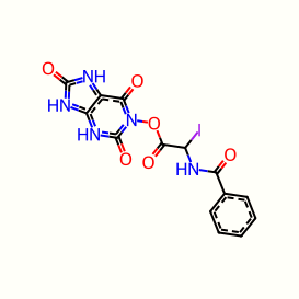 O=C(NC(I)C(=O)On1c(=O)[nH]c2[nH]c(=O)[nH]c2c1=O)c1ccccc1